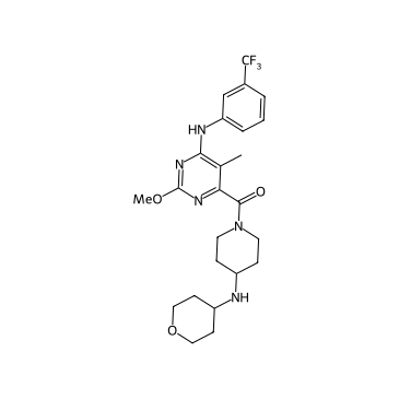 COc1nc(Nc2cccc(C(F)(F)F)c2)c(C)c(C(=O)N2CCC(NC3CCOCC3)CC2)n1